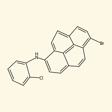 Clc1ccccc1Nc1ccc2ccc3c(Br)ccc4ccc1c2c43